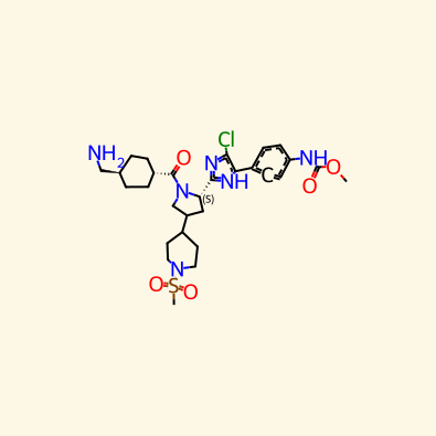 COC(=O)Nc1ccc(-c2[nH]c([C@@H]3CC(C4CCN(S(C)(=O)=O)CC4)CN3C(=O)[C@H]3CC[C@H](CN)CC3)nc2Cl)cc1